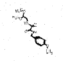 COc1ccc(CNC(=O)C(=O)NCC(OC)OC)cc1